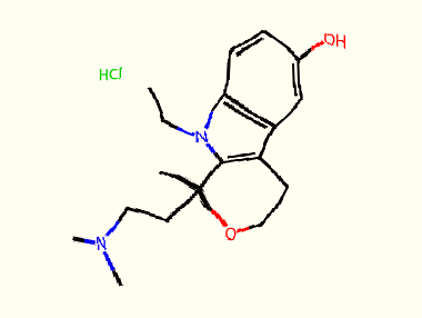 CCn1c2c(c3cc(O)ccc31)CCOC2(C)CCN(C)C.Cl